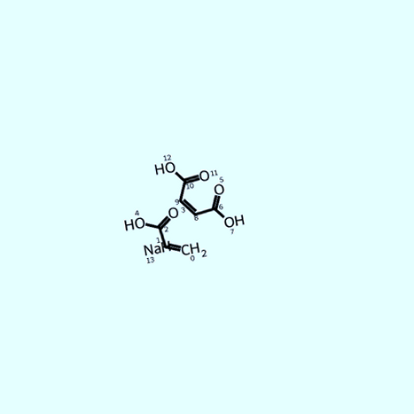 C=CC(=O)O.O=C(O)/C=C\C(=O)O.[NaH]